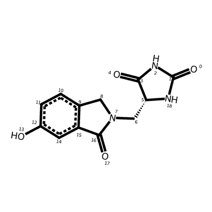 O=C1NC(=O)[C@@H](CN2Cc3ccc(O)cc3C2=O)N1